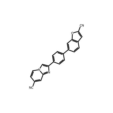 N#Cc1ccn2cc(-c3ccc(-c4ccc5cc(C#N)oc5c4)cc3)nc2c1